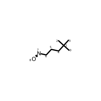 CC(C)(C)CCCN=O